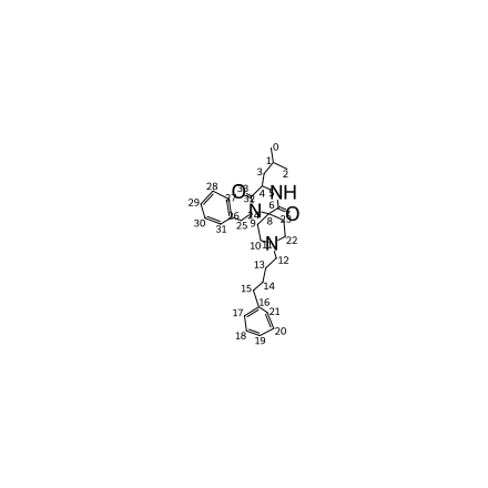 CC(C)CC1NC(=O)C2(CCN(CCCCc3ccccc3)CC2)N(Cc2ccccc2)C1=O